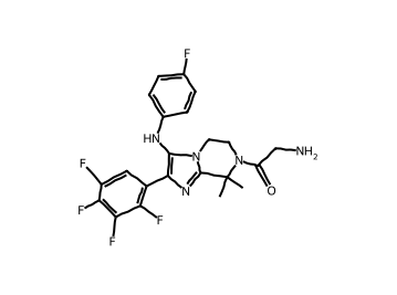 CC1(C)c2nc(-c3cc(F)c(F)c(F)c3F)c(Nc3ccc(F)cc3)n2CCN1C(=O)CN